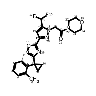 Cc1ccccc1C1(c2noc(-c3cc(C(F)F)n(CC(=O)N4CCOCC4)n3)n2)CC1